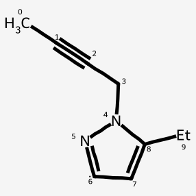 CC#CCn1n[c]cc1CC